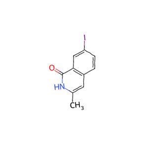 Cc1cc2ccc(I)cc2c(=O)[nH]1